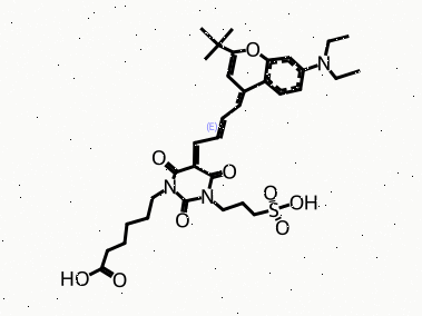 CCN(CC)c1ccc2c(c1)OC(C(C)(C)C)=CC2=C/C=C/C=C1C(=O)N(CCCCCC(=O)O)C(=O)N(CCCS(=O)(=O)O)C1=O